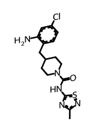 Cc1nsc(NC(=O)N2CCC(Cc3ccc(Cl)cc3N)CC2)n1